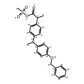 CC(C(=O)OS(C)(=O)=O)c1ccc(N(C)c2ccc(OCc3ccccc3)cc2)cc1